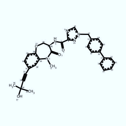 CN1C(=O)[C@H](NC(=O)c2ncn(Cc3ccc(-c4ccccc4)cc3)n2)COc2ccc(C#CC(C)(C)O)cc21